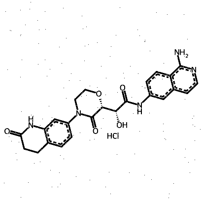 Cl.Nc1nccc2cc(NC(=O)[C@H](O)[C@H]3OCCN(c4ccc5c(c4)NC(=O)CC5)C3=O)ccc12